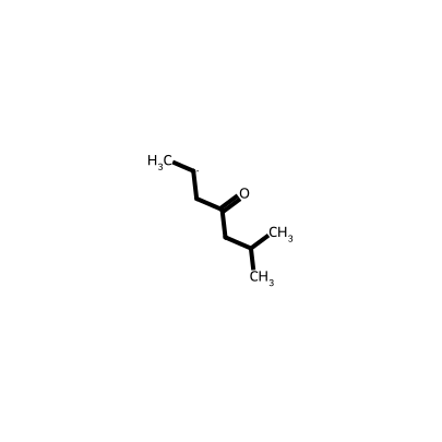 C[CH]CC(=O)CC(C)C